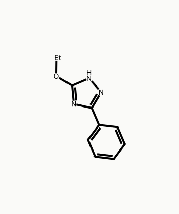 CCOc1nc(-c2c[c]ccc2)n[nH]1